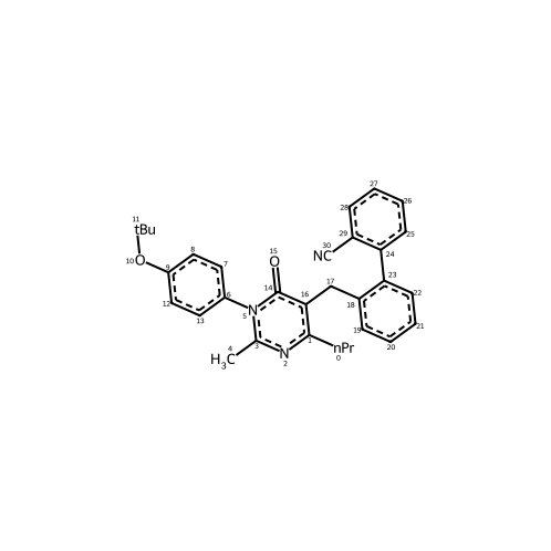 CCCc1nc(C)n(-c2ccc(OC(C)(C)C)cc2)c(=O)c1Cc1ccccc1-c1ccccc1C#N